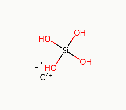 O[Si](O)(O)O.[C+4].[Li+]